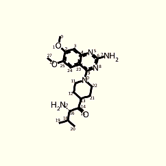 COc1cc2nc(N)nc(N3CCC(C(=O)[C@@H](N)C(C)C)CC3)c2cc1OC